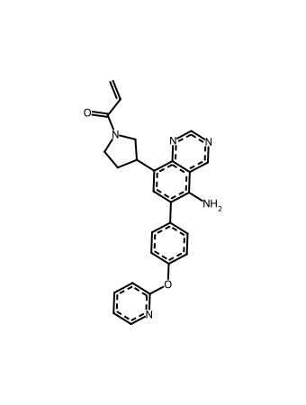 C=CC(=O)N1CCC(c2cc(-c3ccc(Oc4ccccn4)cc3)c(N)c3cncnc23)C1